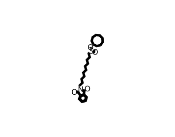 O=C1c2ccccc2C(=O)N1CCCCCCCCCCCS(=O)OC1CCCCCCCC1